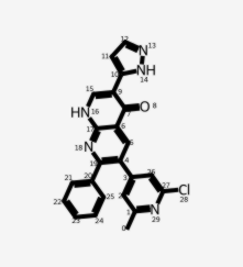 Cc1cc(-c2cc3c(=O)c(-c4ccn[nH]4)c[nH]c3nc2-c2ccccc2)cc(Cl)n1